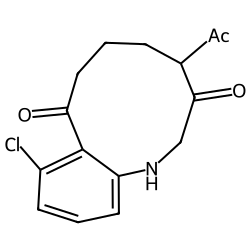 CC(=O)C1CCCC(=O)c2c(Cl)cccc2NCC1=O